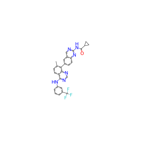 Cc1ccc2c(Nc3cccc(C(F)(F)F)c3)ncnc2c1-c1ccc2nc(NC(=O)C3CC3)ncc2c1